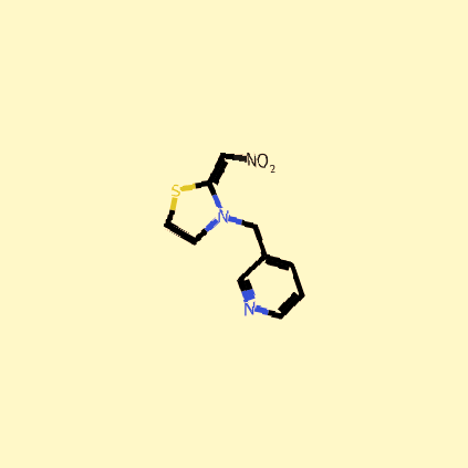 O=[N+]([O-])/C=C1/SCCN1Cc1cccnc1